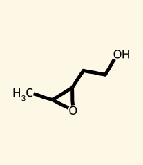 CC1OC1CCO